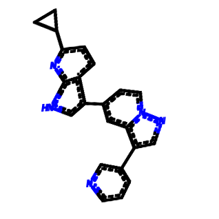 c1cncc(-c2cnn3ccc(-c4c[nH]c5nc(C6CC6)ccc45)cc23)c1